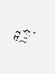 CC(P)Oc1cc(Nc2cnc3cnn([C@H](C)[C@@H]4CCOC4)c3n2)nn1C